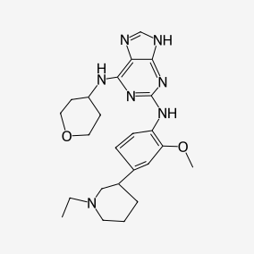 CCN1CCCC(c2ccc(Nc3nc(NC4CCOCC4)c4nc[nH]c4n3)c(OC)c2)C1